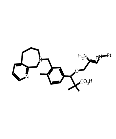 CCN/C=C(\N)COC(c1ccc(C)c(CN2CCCc3cccnc3C2)c1)C(C)(C)C(=O)O